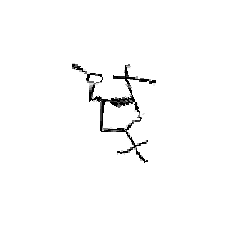 COCc1cc(C(C)(C)C)sc1C(C)(C)C